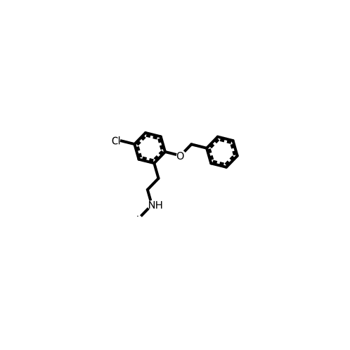 [CH2]NCCc1cc(Cl)ccc1OCc1ccccc1